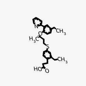 CCc1ccc(O[C@@H](C)CCSc2ccc(CCC(=O)O)c(CC)c2)c(-c2ccccn2)c1